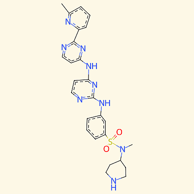 Cc1cccc(-c2nccc(Nc3ccnc(Nc4cccc(S(=O)(=O)N(C)C5CCNCC5)c4)n3)n2)n1